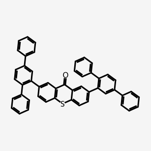 O=c1c2cc(-c3cc(-c4ccccc4)ccc3-c3ccccc3)ccc2sc2ccc(-c3cc(-c4ccccc4)ccc3-c3ccccc3)cc12